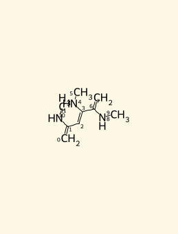 C=C(C=C(NC)C(=C)NC)NC